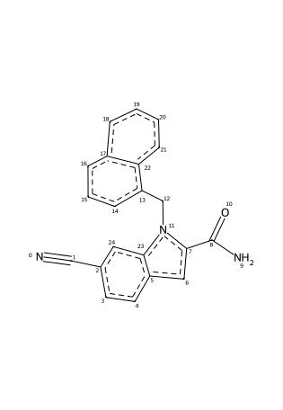 N#Cc1ccc2cc(C(N)=O)n(Cc3cccc4ccccc34)c2c1